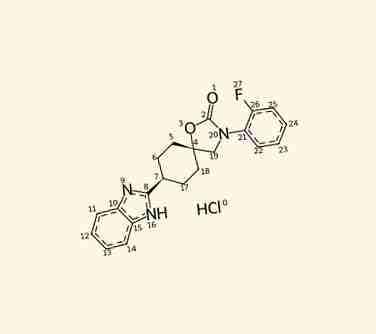 Cl.O=C1O[C@]2(CC[C@H](c3nc4ccccc4[nH]3)CC2)CN1c1ccccc1F